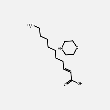 C1COCCN1.CCCCCCCCC=CC(=O)O